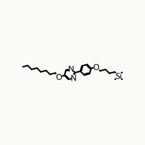 CCCCCCCCOc1cnc(-c2ccc(OCCCC[Si](C)(C)C)cc2)nc1